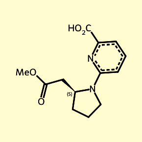 COC(=O)C[C@@H]1CCCN1c1cccc(C(=O)O)n1